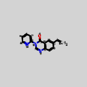 C=Cc1ccc2ncn(-c3ccccn3)c(=O)c2c1